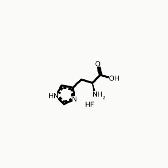 F.N[C@@H](Cc1c[nH]cn1)C(=O)O